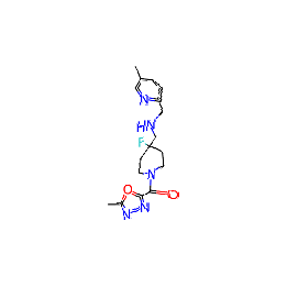 Cc1ccc(CNCC2(F)CCN(C(=O)c3nnc(C)o3)CC2)nc1